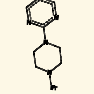 CC(C)N1CCN(c2ncccn2)CC1